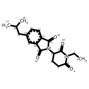 CCN1C(=O)CCC(N2C(=O)c3ccc(CC(C)C)cc3C2=O)C1=O